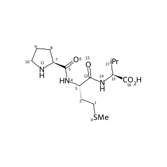 CSCC[C@H](NC(=O)[C@@H]1CCCN1)C(=O)N[C@H](C(=O)O)C(C)C